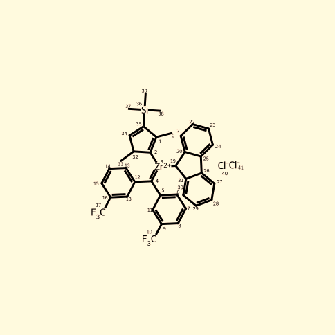 CC1=[C]([Zr+2](=[C](c2cccc(C(F)(F)F)c2)c2cccc(C(F)(F)F)c2)[CH]2c3ccccc3-c3ccccc32)C(C)C=C1[Si](C)(C)C.[Cl-].[Cl-]